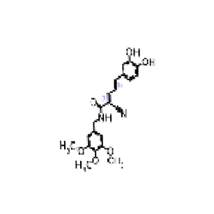 COc1cc(CNC(=O)/C(C#N)=C/C=C/c2ccc(O)c(O)c2)cc(OC)c1OC